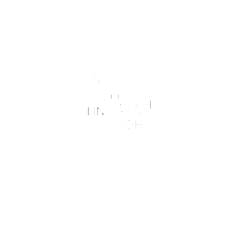 O=C(N[C@@H](c1ccccc1)[C@H](O)C(=O)O)c1cccs1